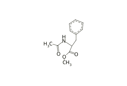 COC(=O)C(Cc1ccccc1)NC(C)=O